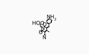 CC1=C(C#N)C(=O)N(CC(=O)O)C(=O)/C1=C\c1ccc(N)cc1